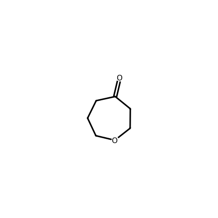 O=C1CCCOCC1